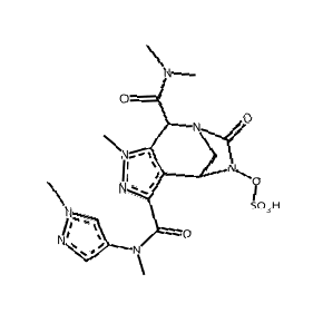 CN(C)C(=O)C1c2c(c(C(=O)N(C)c3cnn(C)c3)nn2C)C2CN1C(=O)N2OS(=O)(=O)O